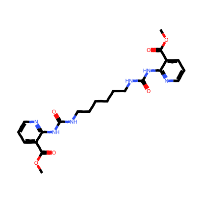 COC(=O)c1cccnc1NC(=O)NCCCCCCNC(=O)Nc1ncccc1C(=O)OC